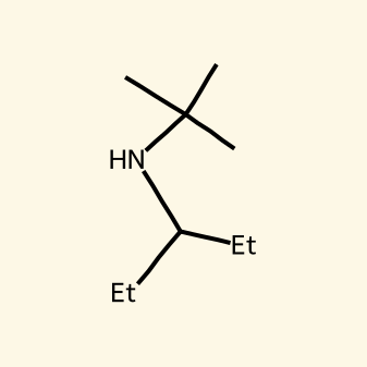 CCC(CC)NC(C)(C)C